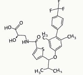 Cc1cc(OC(c2ccc(C(=O)NC[C@@H](O)C(=O)O)s2)C(C)C)cc(C)c1-c1ccc(C(F)(F)F)cc1